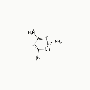 CCC1=CC(N)=NN(N)N1